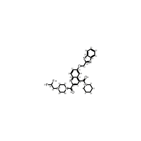 O=C(c1cc(C(=O)N2CCCCC2)c2cc(OCc3nc4ccccc4s3)ccc2n1)N1CCN(CC(F)F)CC1